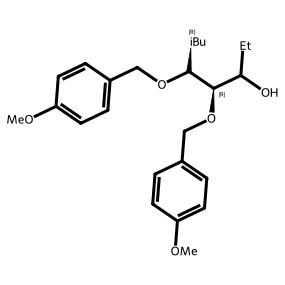 CCC(O)[C@@H](OCc1ccc(OC)cc1)C(OCc1ccc(OC)cc1)[C@H](C)CC